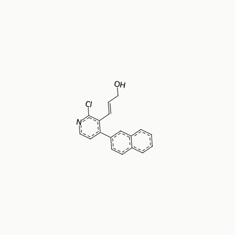 OC/C=C/c1c(-c2ccc3ccccc3c2)ccnc1Cl